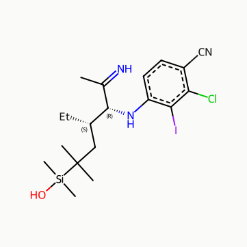 CC[C@@H](CC(C)(C)[Si](C)(C)O)[C@@H](Nc1ccc(C#N)c(Cl)c1I)C(C)=N